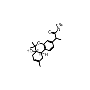 CCCCOC(=O)C(C)c1ccc2c(c1)OC(C)(C)[C@@]1(O)CC=C(C)C[C@H]21